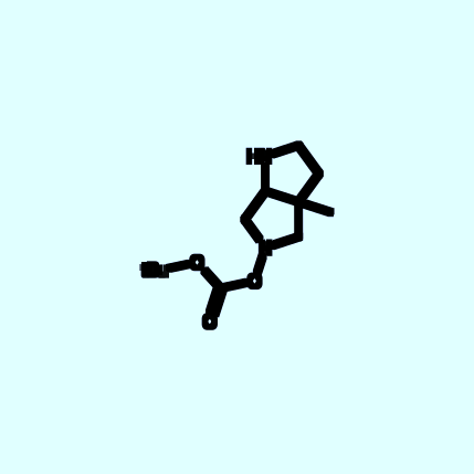 CC(C)(C)OC(=O)ON1CC2NCCC2(C)C1